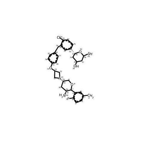 Cc1ccc(F)c(C2OC[C@@H](N3CC(Oc4ccc(Cc5cc([C@H]6CC(O)CC(S)O6)ccc5Cl)cc4)C3)C[C@@H]2N)c1